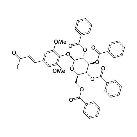 COc1cc(/C=C/C(=O)I)cc(OC)c1O[C@@H]1O[C@H](COC(=O)c2ccccc2)[C@@H](OC(=O)c2ccccc2)[C@H](OC(=O)c2ccccc2)[C@H]1OC(=O)c1ccccc1